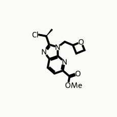 COC(=O)c1ccc2nc([C@H](C)Cl)n(CC3CCO3)c2n1